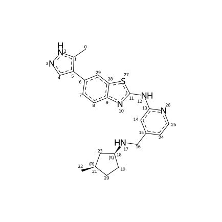 Cc1[nH]ncc1-c1ccc2nc(Nc3cc(CN[C@H]4CC[C@@H](C)C4)ccn3)sc2c1